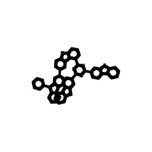 c1ccc(-n2c3ccccc3c3ccc(-c4ccc5oc6cccc(-c7nc(-c8ccc9c(c8)sc8ccccc89)nc(-c8ccc9c(c8)sc8ccccc89)n7)c6c5c4)cc32)cc1